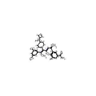 C=C(/C=C(C)/C(=C(\C)c1cc(Cl)cc(Cl)c1)N1CCC(NC2COC2)CC1)c1cc(F)cc(C(N)=O)c1